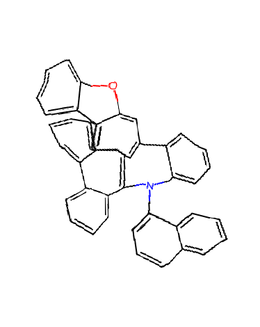 c1ccc(N(c2cccc3ccccc23)c2cc3ccccc3c3ccccc23)c(-c2ccc3c(c2)oc2ccccc23)c1